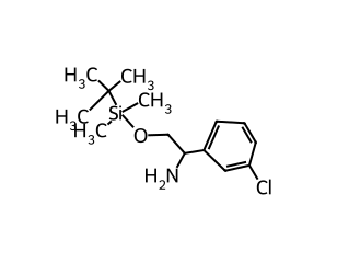 CC(C)(C)[Si](C)(C)OCC(N)c1cccc(Cl)c1